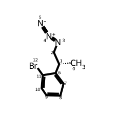 C[C@@H](CN=[N+]=[N-])c1ccccc1Br